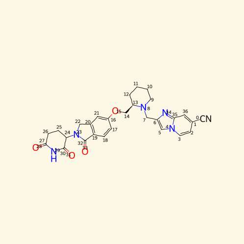 N#Cc1ccn2cc(CN3CCCC[C@@H]3COc3ccc4c(c3)CN(C3CCC(=O)NC3=O)C4=O)nc2c1